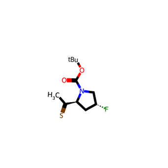 CC(=S)[C@@H]1C[C@@H](F)CN1C(=O)OC(C)(C)C